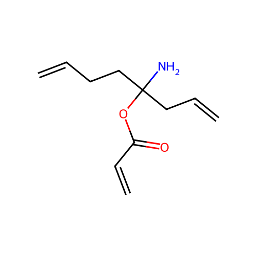 C=CCCC(N)(CC=C)OC(=O)C=C